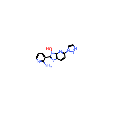 Nc1ncccc1-c1nc2ccc(-n3ccnn3)nc2n1O